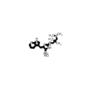 CN(C)CC(C)(C)CNC1=N/C(=C\c2c[nH]c3ncccc23)C(=O)N1.Cl.Cl